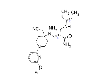 C=C/C(=C\C)NC/C(=C\N(N)C1(CC#N)CCN(c2cccc(OCC)n2)CC1)C(N)=O